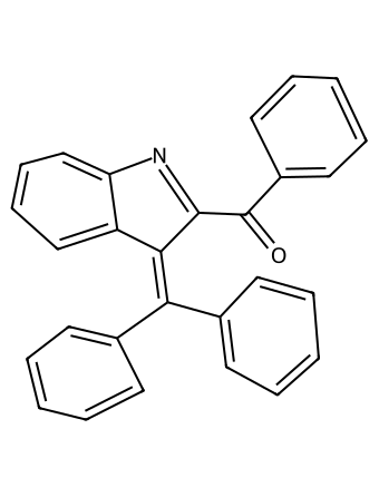 O=C(C1=Nc2ccccc2C1=C(c1ccccc1)c1ccccc1)c1ccccc1